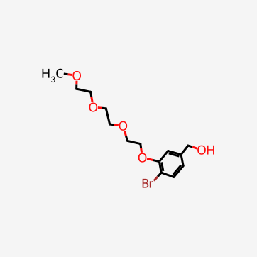 COCCOCCOCCOc1cc(CO)ccc1Br